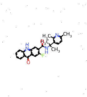 Cc1ccc(C(C)(C)NC(=O)c2cc3[nH]c4ccccc4c(=O)c3cc2F)c(C)n1